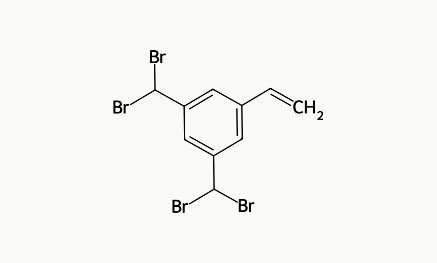 C=Cc1cc(C(Br)Br)cc(C(Br)Br)c1